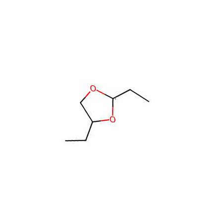 CC[C]1OCC(CC)O1